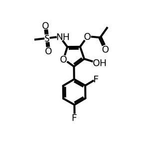 CC(=O)Oc1c(NS(C)(=O)=O)oc(-c2ccc(F)cc2F)c1O